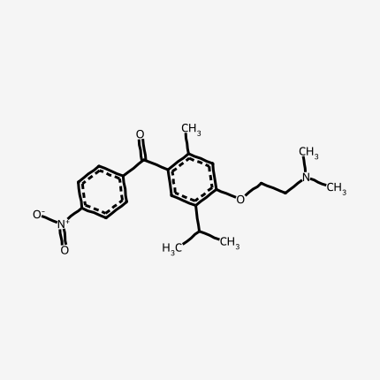 Cc1cc(OCCN(C)C)c(C(C)C)cc1C(=O)c1ccc([N+](=O)[O-])cc1